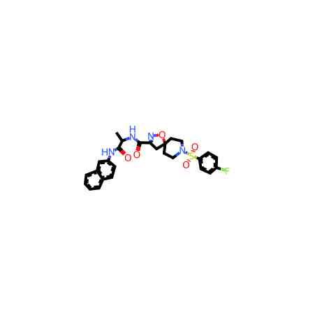 CC(NC(=O)C1=NOC2(CCN(S(=O)(=O)c3ccc(F)cc3)CC2)C1)C(=O)Nc1ccc2ccccc2c1